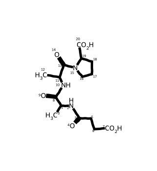 CC(NC(=O)CCC(=O)O)C(=O)NC(C)C(=O)N1CCCC1C(=O)O